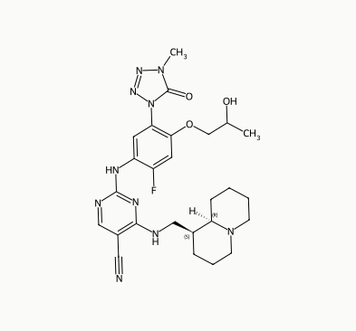 CC(O)COc1cc(F)c(Nc2ncc(C#N)c(NC[C@@H]3CCCN4CCCC[C@H]34)n2)cc1-n1nnn(C)c1=O